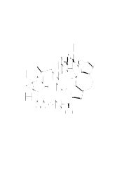 C=C(CN[C@H](C)CC1(c2nn[nH]n2)c2sccc2CCc2cc(C(=O)NC)sc21)N1C(C#N)C[C@@H]2C[C@@H]21